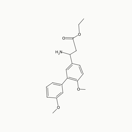 CCOC(=O)CC(N)c1ccc(OC)c(-c2cccc(OC)c2)c1